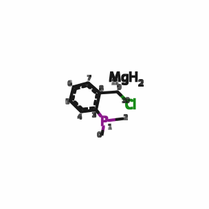 CP(C)c1ccccc1CCl.[MgH2]